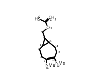 C=C(S)OCC1C2CC/C(NC)=C(/NC)CCC21